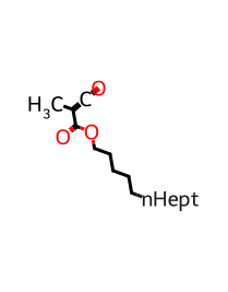 CCCCCCCCCCCCOC(=O)C(C)=C=O